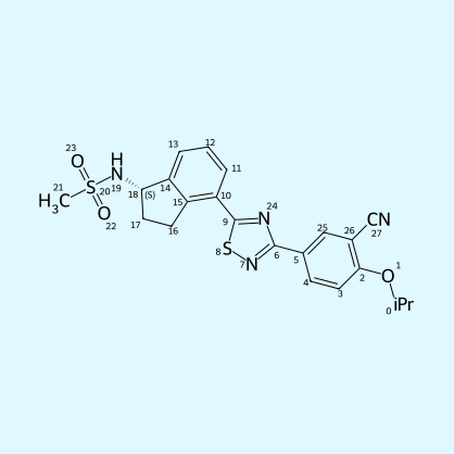 CC(C)Oc1ccc(-c2nsc(-c3cccc4c3CC[C@@H]4NS(C)(=O)=O)n2)cc1C#N